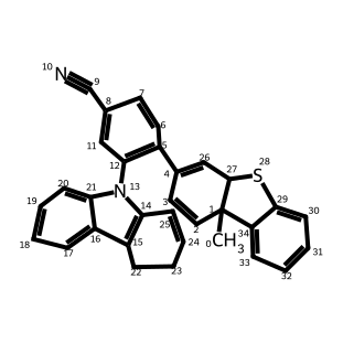 CC12C=CC(c3ccc(C#N)cc3-n3c4c(c5ccccc53)CCC=C4)=CC1Sc1ccccc12